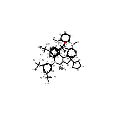 COc1ccccc1P(c1ccccc1OC)c1ccccc1C1C[C@](C)(C2CCCC2)CC1[C@@H](N)P(c1cc(C(F)(F)F)cc(C(F)(F)F)c1)c1cc(C(F)(F)F)cc(C(F)(F)F)c1